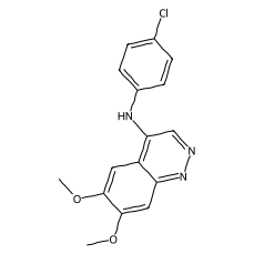 COc1cc2nncc(Nc3ccc(Cl)cc3)c2cc1OC